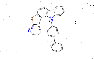 c1ccc(-c2ccc(-n3c4ccccc4c4ccc5sc6ncccc6c5c43)cc2)cc1